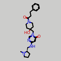 CN1CCC[C@@H]1CNc1cc(=O)n(CC2(O)CCN(C(=O)CCc3ccccc3)CC2)cn1